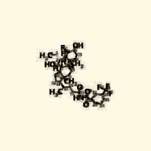 CC[C@H]1[C@@H](O)[C@@H]2[C@H](CC[C@]3(C)[C@@H](C(C)CCC(=O)NS(=O)(=O)c4cccc(C(F)(F)F)c4)CC[C@@H]23)[C@@]2(C)CC[C@@H](O)[C@H](F)[C@@H]12